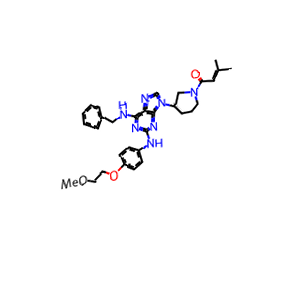 COCCOc1ccc(Nc2nc(NCc3ccccc3)c3ncn(C4CCCN(C(=O)C=C(C)C)C4)c3n2)cc1